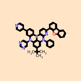 CC(C)(C)c1cc2c3c(c1)N(c1ccccc1)c1nc(-c4cccc5c4oc4ccccc45)ccc1B3c1ccc(-c3ccncc3)cc1N2c1cncnc1